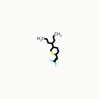 CCCC(CCC)C1CCC(C=C(F)F)SC1